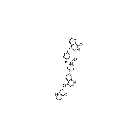 O=C(c1cc(Cc2n[nH]c(=O)c3ccccc23)ccc1F)N1CCN(c2ccc3c(OCCn4ncccc4=O)ccnc3c2)CC1